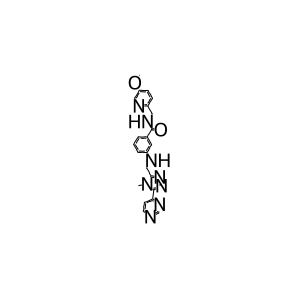 COc1ccc(CNC(=O)c2cccc(NCc3nnc(-c4ccncn4)n3C)c2)nc1